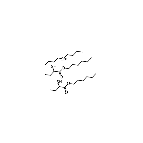 CCCCCCOC(=O)C(S)CC.CCCCCCOC(=O)C(S)CC.CCC[CH2][Sn][CH2]CCC